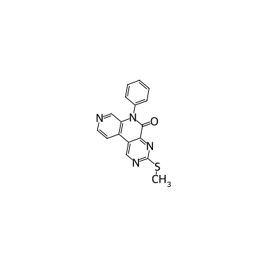 CSc1ncc2c(n1)c(=O)n(-c1ccccc1)c1cnccc21